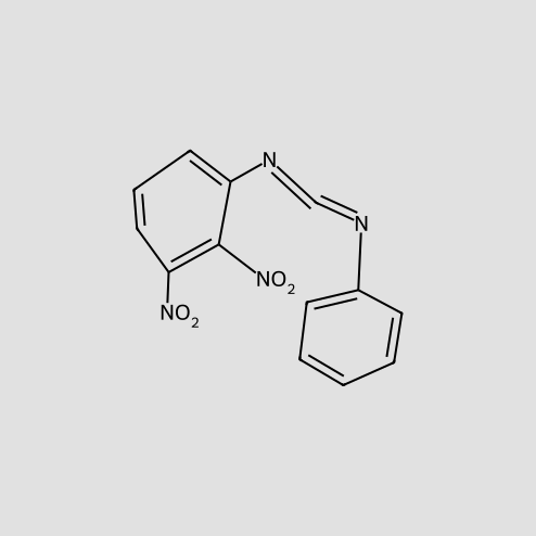 O=[N+]([O-])c1cccc(N=C=Nc2ccccc2)c1[N+](=O)[O-]